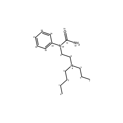 CCCCN(CCC)CCN(C(N)=O)c1ccccc1